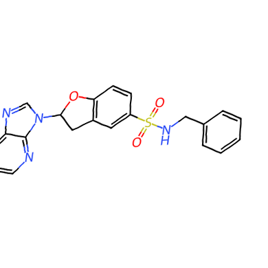 O=S(=O)(NCc1ccccc1)c1ccc2c(c1)CC(n1cnc3cccnc31)O2